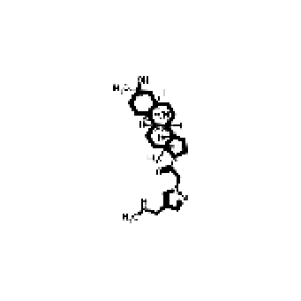 CNCc1cnn(CC(=O)[C@H]2CC[C@H]3[C@@H]4CC[C@@H]5C[C@](C)(O)CC[C@]5(C)[C@H]4CC[C@]23C)c1